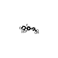 O=C1CCC(c2c(F)cc(N3CCC(C(=O)O)C3)cc2F)C(=O)N1